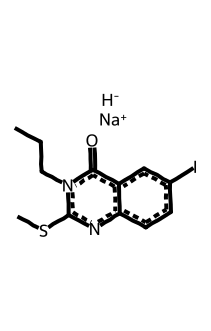 CCCn1c(SC)nc2ccc(I)cc2c1=O.[H-].[Na+]